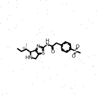 CC[C@H](C)C1NCc2sc(NC(=O)Cc3ccc(S(C)(=O)=O)cc3)nc21